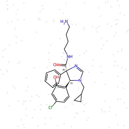 NCCCCNC(=O)[C@]1(c2ccccc2)N=CN(CC2CC2)[C@H]1c1ccc(Cl)cc1O